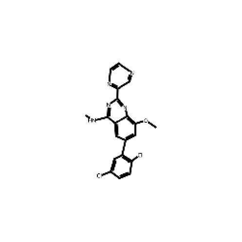 CNc1nc(-c2cnccn2)nc2c(OC)cc(-c3cc(Cl)ccc3Cl)cc12